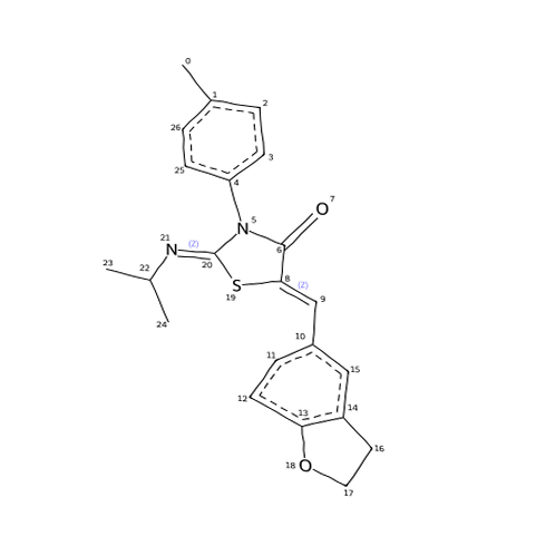 Cc1ccc(N2C(=O)/C(=C/c3ccc4c(c3)CCO4)S/C2=N\C(C)C)cc1